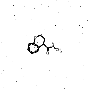 CNC(=O)C1CCOc2ccccc21